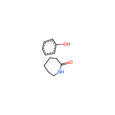 O=C1CCCCCN1.Oc1ccccc1